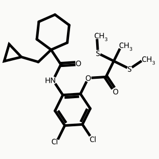 CSC(C)(SC)C(=O)Oc1cc(Cl)c(Cl)cc1NC(=O)C1(CC2CC2)CCCCC1